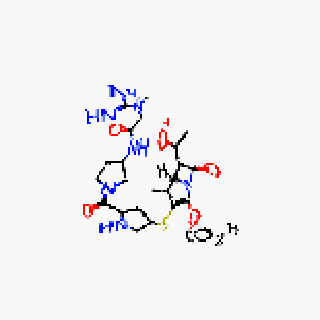 CC(O)C1C(=O)N2C(OC(=O)O)=C(SC3CNC(C(=O)N4CCC(NC(=O)CN(C)C(=N)N)C4)C3)C(C)[C@@H]12